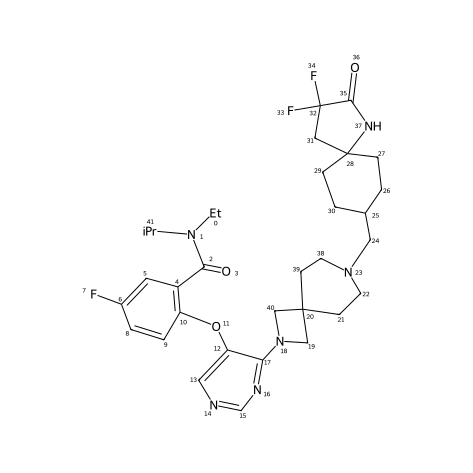 CCN(C(=O)c1cc(F)ccc1Oc1cncnc1N1CC2(CCN(CC3CCC4(CC3)CC(F)(F)C(=O)N4)CC2)C1)C(C)C